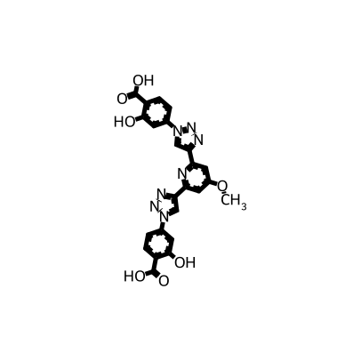 COc1cc(-c2cn(-c3ccc(C(=O)O)c(O)c3)nn2)nc(-c2cn(-c3ccc(C(=O)O)c(O)c3)nn2)c1